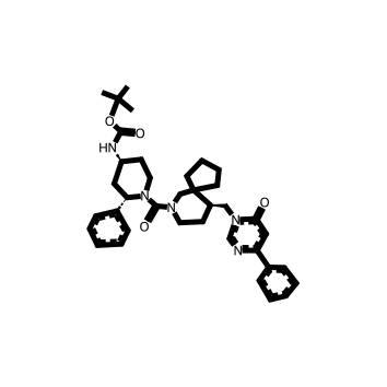 CC(C)(C)OC(=O)N[C@@H]1CCN(C(=O)N2CC[C@H](Cn3cnc(-c4ccccc4)cc3=O)C3(CCCC3)C2)[C@H](c2ccccc2)C1